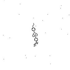 CCCc1ccc(C2COC(c3ccc(N=C=S)cc3)OC2)cc1